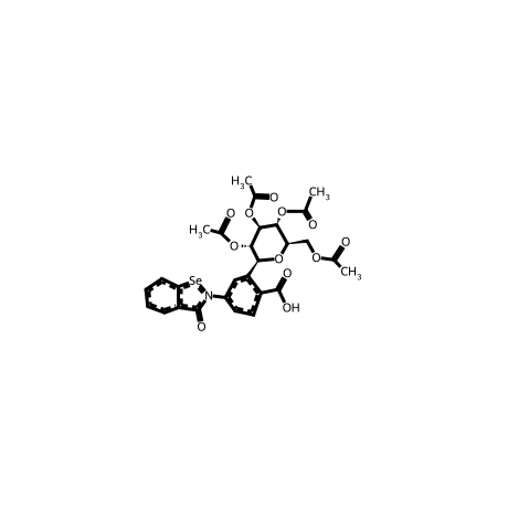 CC(=O)OC[C@H]1O[C@@H](c2cc(-n3[se]c4ccccc4c3=O)ccc2C(=O)O)[C@H](OC(C)=O)[C@@H](OC(C)=O)[C@@H]1OC(C)=O